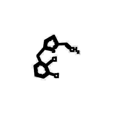 C=Cc1ccc(Cc2cccc(Cl)c2Cl)s1